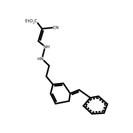 CCOC(=O)C(C#N)=CNNCCC1=CC(=Cc2ccccc2)CC=C1